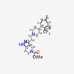 COC(=O)N1CCc2[nH]nc(CCN3CCC(C4C=CC(F)=CC(F)=C4C(F)(F)F)CC3)c2C1